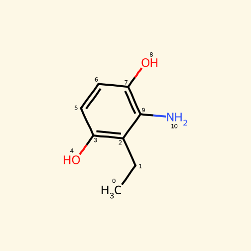 CCc1c(O)ccc(O)c1N